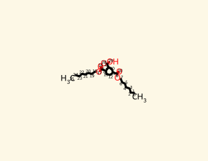 CCCCCCCCOC(=O)C1CCC(C(=O)OCCCCCCCC)C(C(=O)O)C1